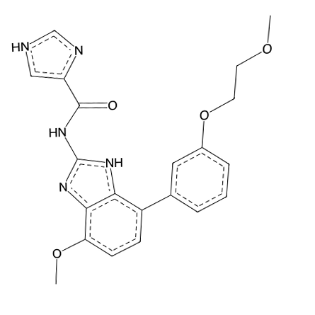 COCCOc1cccc(-c2ccc(OC)c3nc(NC(=O)c4c[nH]cn4)[nH]c23)c1